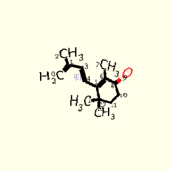 C=C(C)/C=C/C1=C(C)C(=O)CCC1(C)C